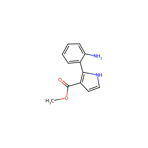 COC(=O)c1cc[nH]c1-c1ccccc1N